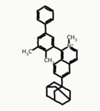 Cc1cc(-c2ccccc2)cc(-c2c3ccc(C45CC6CC(CC(C6)C4)C5)cc3cc[n+]2C)c1C